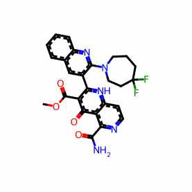 COC(=O)c1c(-c2cc3ccccc3nc2N2CCCC(F)(F)CC2)[nH]c2ccnc(C(N)=O)c2c1=O